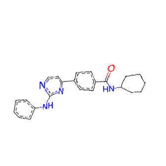 O=C(NC1CCCCC1)c1ccc(-c2ccnc(Nc3ccccc3)n2)cc1